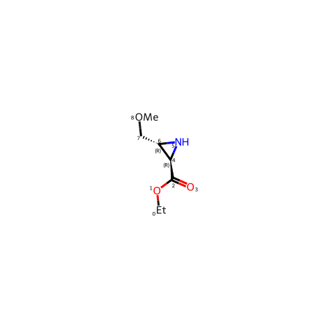 CCOC(=O)[C@@H]1N[C@H]1COC